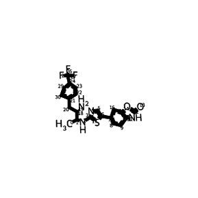 CC(Nc1ncc(-c2ccc3[nH]c(=O)oc3c2)s1)[C@@H](N)Cc1ccc(C(F)(F)F)cc1